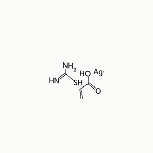 C=CC(=O)O.N=C(N)S.[Ag]